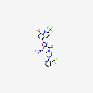 COc1ccc(-c2nc(C(=O)N3CCN(c4ncccc4C(F)(F)F)CC3)c(CN)o2)c2ccc(C(F)(F)F)nc12